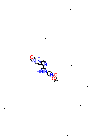 CC(C)(C)OC(=O)N1CCC(N/C=C(\C=N)c2nccc3[nH]c(CN4CCOCC4)cc23)CC1